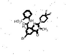 CC(Nc1ccccc1C(=O)O)c1cc(Br)cc2c(=O)n(C)c(N3CCC(F)(F)CC3)nc12